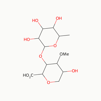 COC1C(O)COC(C(=O)O)C1OC1OC(C)C(O)C(O)C1O